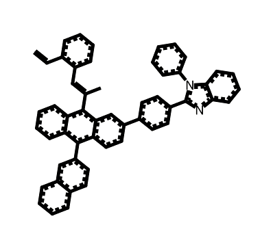 C=Cc1ccccc1/C=C(\C)c1c2ccccc2c(-c2ccc3ccccc3c2)c2ccc(-c3ccc(-c4nc5ccccc5n4-c4ccccc4)cc3)cc12